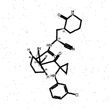 N#C[C@H](C[C@@H]1CCCNC1=O)NC(=O)[C@@H]1[C@H]2CC[C@H](CC2(F)F)N1C(=O)C1(Nc2cccc(Cl)c2)CC1